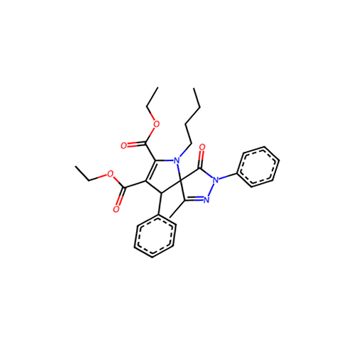 CCCCN1C(C(=O)OCC)=C(C(=O)OCC)C(c2ccccc2)C12C(=O)N(c1ccccc1)N=C2C